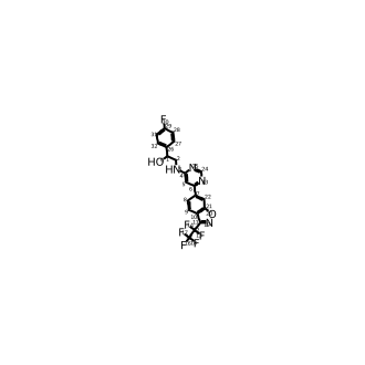 OC(CNc1cc(-c2ccc3c(C(F)(F)C(F)(F)F)noc3c2)ncn1)c1ccc(F)cc1